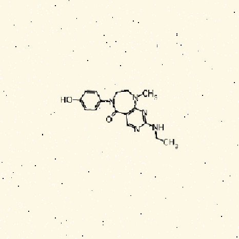 CCNc1ncc2c(n1)N(C)CCN(c1ccc(O)cc1)C2=O